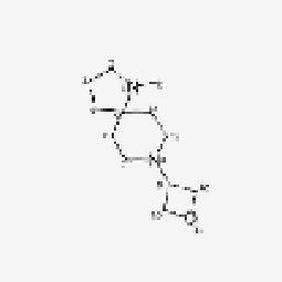 CN1CCCC12CCN(C1COC1)CC2